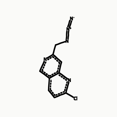 [N-]=[N+]=NCc1cc2nc(Cl)ccc2cn1